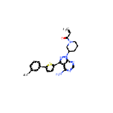 C=CC(=O)N1CCCC(n2nc(-c3ccc(-c4cccc(C)c4)s3)c3c(N)ncnc32)C1